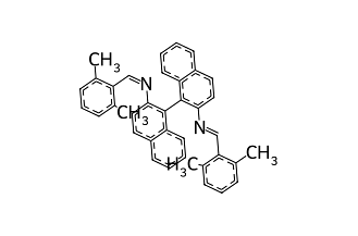 Cc1cccc(C)c1/C=N\c1ccc2ccccc2c1-c1c(/N=C/c2c(C)cccc2C)ccc2ccccc12